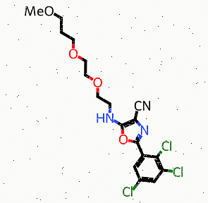 COCCCOCCOCCNc1oc(-c2cc(Cl)cc(Cl)c2Cl)nc1C#N